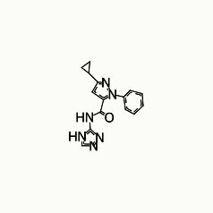 O=C(Nc1nnc[nH]1)c1cc(C2CC2)nn1-c1ccccc1